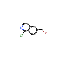 Clc1nccc2cc(CBr)ccc12